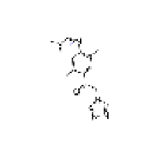 Cc1cc(C(=O)Cn2cnnc2)c(C)cc1/N=C\N(C)C